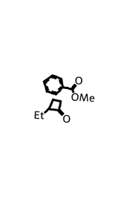 CCC1CCC1=O.COC(=O)c1ccccc1